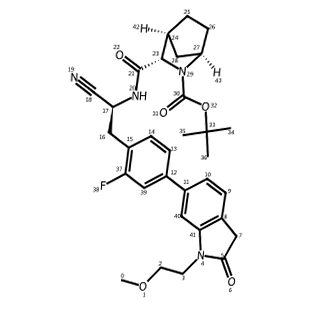 COCCN1C(=O)Cc2ccc(-c3ccc(C[C@@H](C#N)NC(=O)[C@@H]4[C@H]5CC[C@H](C5)N4C(=O)OC(C)(C)C)c(F)c3)cc21